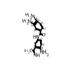 CC(=N)c1cc(NC(=O)c2ccc(N)c(N)c2)ccc1N